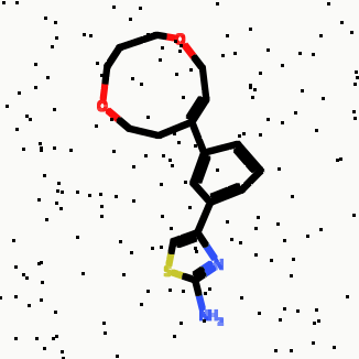 Nc1nc(-c2cccc(/C3=C/COCCCOCC3)c2)cs1